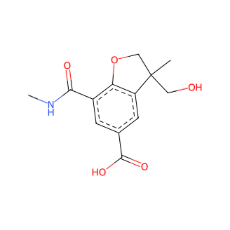 CNC(=O)c1cc(C(=O)O)cc2c1OCC2(C)CO